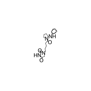 O=C1CN(CCCCC(=O)N2CCCC2Nc2ccccc2)C(=O)N1